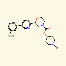 CCN1CCC(OC(=O)N2CCOC(c3ccc(-c4cccc(OC)c4)cn3)C2)CC1